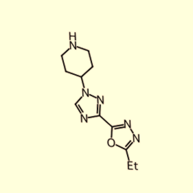 CCc1nnc(-c2ncn(C3CCNCC3)n2)o1